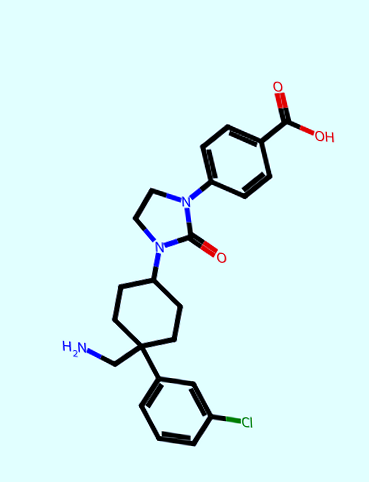 NCC1(c2cccc(Cl)c2)CCC(N2CCN(c3ccc(C(=O)O)cc3)C2=O)CC1